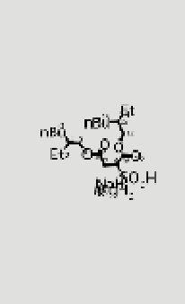 CCCCC(CC)COC(=O)CC(C(=O)OCC(CC)CCCC)S(=O)(=O)O.[MgH2].[NaH]